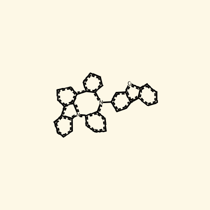 c1ccc2c(c1)oc1cc(-n3c4ccccc4c4cccc5c6ccccc6n(c6ccccc63)c45)ccc12